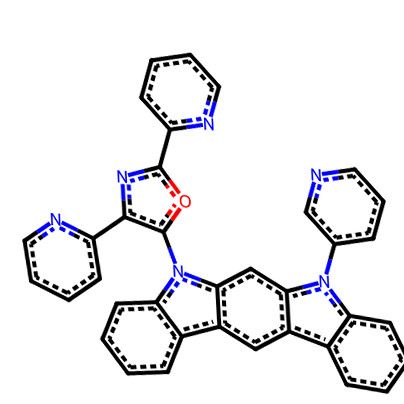 c1ccc(-c2nc(-c3ccccn3)c(-n3c4ccccc4c4cc5c6ccccc6n(-c6cccnc6)c5cc43)o2)nc1